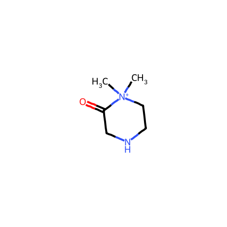 C[N+]1(C)CCNCC1=O